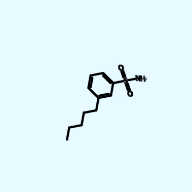 CCCCCc1cccc(S([NH])(=O)=O)c1